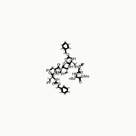 CC(=O)CN(C(=O)[C@H](CC(C)C)NC(=O)[C@H](CC(C)C)NC(=O)OCc1ccccc1)C(=O)[C@H](CC(C)C)NC(=O)[C@H](CC(C)C)NC(=O)OCc1ccccc1.CCCC[C@H](NC(=O)C=[N+]=[N-])C(=O)OC